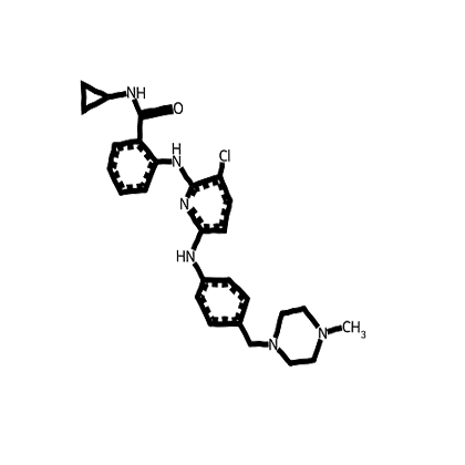 CN1CCN(Cc2ccc(Nc3ccc(Cl)c(Nc4ccccc4C(=O)NC4CC4)n3)cc2)CC1